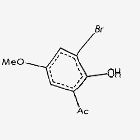 COc1cc(Br)c(O)c(C(C)=O)c1